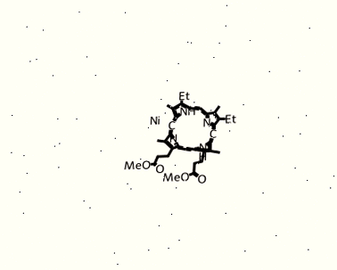 CCC1=C(C)c2cc3[nH]c(cc4nc(cc5[nH]c(cc1n2)c(C)c5CCC(=O)OC)C(CCC(=O)OC)=C4C)c(C)c3CC.[Ni]